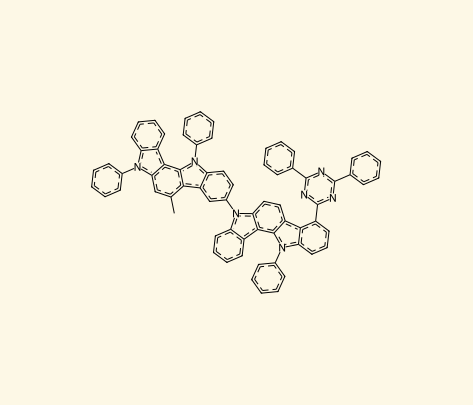 Cc1cc2c(c3ccccc3n2-c2ccccc2)c2c1c1cc(-n3c4ccccc4c4c3ccc3c5c(-c6nc(-c7ccccc7)nc(-c7ccccc7)n6)cccc5n(-c5ccccc5)c34)ccc1n2-c1ccccc1